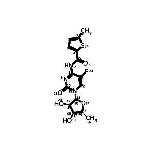 Cc1ccc(C(=O)Nc2nc(=O)n([C@@H]3O[C@H](C)[C@@H](O)[C@H]3O)cc2F)s1